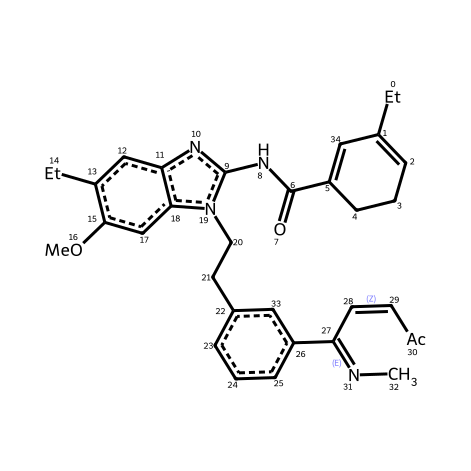 CCC1=CCCC(C(=O)Nc2nc3cc(CC)c(OC)cc3n2CCc2cccc(C(/C=C\C(C)=O)=N/C)c2)=C1